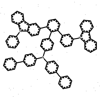 c1ccc(-c2ccc(N(c3ccc(-c4ccccc4)cc3)c3ccc(-c4c(-c5cccc(-n6c7ccccc7c7ccccc76)c5)cccc4-c4ccc5c(c4)c4ccccc4n5-c4ccccc4)cc3)cc2)cc1